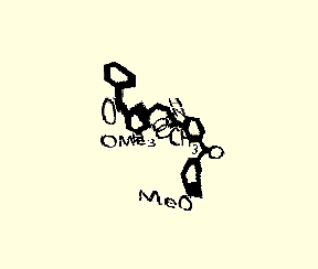 COc1ccc(C(=O)c2ccc3c(c2)C(C)(C)C2(C=Cc4cc(C(=O)c5ccccc5)cc(OC)c4O2)N3)cc1